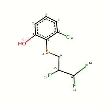 Oc1cccc(Cl)c1SCC(F)C(F)F